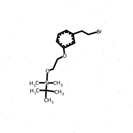 CC(C)(C)[Si](C)(C)OCCOc1cccc(CCBr)c1